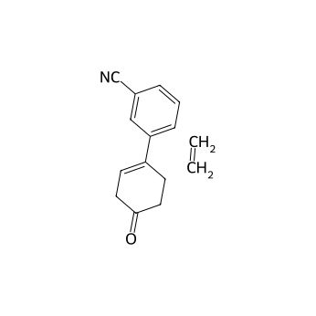 C=C.N#Cc1cccc(C2=CCC(=O)CC2)c1